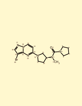 CN(C(=O)N1CCCC1)[C@H]1CCN(c2ccn3ncc(Br)c3n2)C1